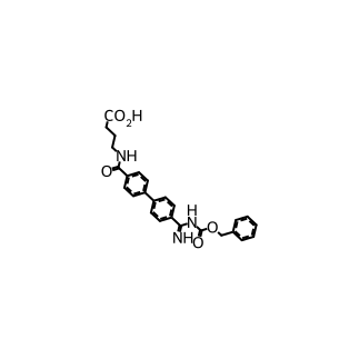 N=C(NC(=O)OCc1ccccc1)c1ccc(-c2ccc(C(=O)NCCCC(=O)O)cc2)cc1